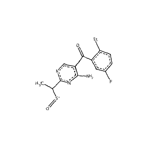 CCc1ccc(F)cc1C(=O)c1cnc(C(C)[S+]=O)nc1N